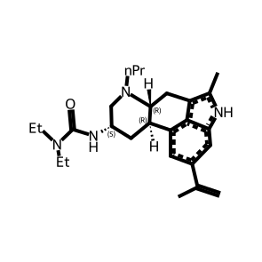 C=C(C)c1cc2c3c(c(C)[nH]c3c1)C[C@@H]1[C@@H]2C[C@H](NC(=O)N(CC)CC)CN1CCC